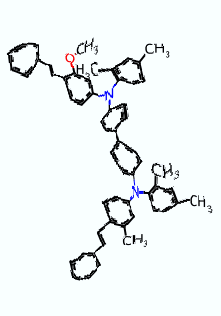 COc1cc(N(c2ccc(-c3ccc(N(c4ccc(/C=C/c5ccccc5)c(C)c4)c4ccc(C)cc4C)cc3)cc2)c2ccc(C)cc2C)ccc1/C=C/c1ccccc1